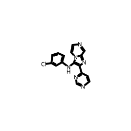 Clc1cccc(Nc2c(-c3ccncn3)nc3cnccn23)c1